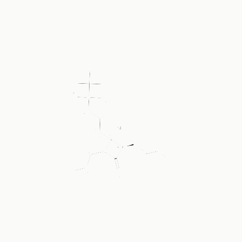 COCO[C@H]1C(=O)N(COC)[C@@]1(N)[C@H](O)CO[Si](C)(C)C(C)(C)C